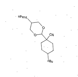 CCCCCC1COC(C2(C#N)CCC(CCCC)CC2)OC1